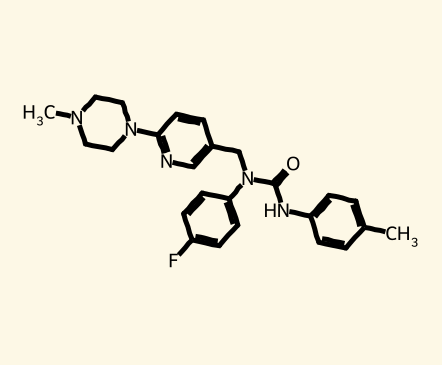 Cc1ccc(NC(=O)N(Cc2ccc(N3CCN(C)CC3)nc2)c2ccc(F)cc2)cc1